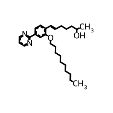 CCCCCCCCCCOc1cc(-c2ncccn2)ccc1C=CCCCC(C)O